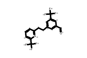 O=Cc1cc(CCc2cccc(C(F)(F)F)n2)cc(C(F)(F)F)c1